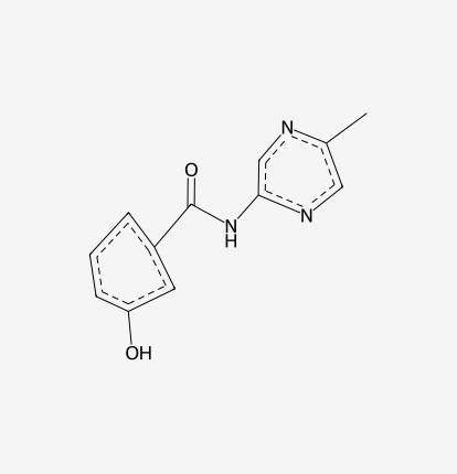 Cc1cnc(NC(=O)c2cccc(O)c2)cn1